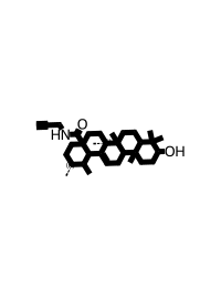 C#CCNC(=O)C12CC[C@@H](C)C(C)C1C1=CCC3C4(C)CCC(O)C(C)(C)C4CCC3(C)[C@]1(C)CC2